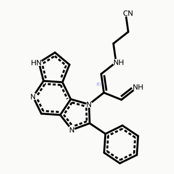 N#CCCN/C=C(\C=N)n1c(-c2ccccc2)nc2cnc3[nH]ccc3c21